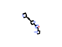 C(#Cc1ccc(-c2noc(C3CCCN3)n2)nc1)c1cccnc1